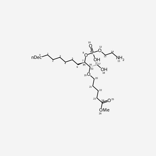 CCCCCCCCCCCCCCCC[C@@H](OP(=O)(O)OCCN)[C@H](CO)OCCCCC(=O)OC